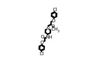 COC(COc1ccc(Cl)cc1)CN1CCC(NC(=O)COc2ccc(Cl)cc2)CC1